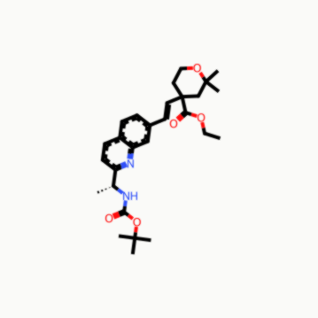 CCOC(=O)C1(/C=C/c2ccc3ccc([C@@H](C)NC(=O)OC(C)(C)C)nc3c2)CCOC(C)(C)C1